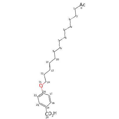 CC(=O)CCCCCCCCCCCCCCOc1ccc(C(=O)O)cc1